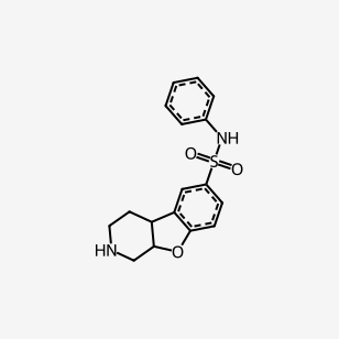 O=S(=O)(Nc1ccccc1)c1ccc2c(c1)C1CCNCC1O2